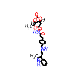 Cc1[nH]c2ccccc2c1CCNCc1ccc(/C=C/C(=O)NO[C@H]2C[C@H]3OC(=O)O[C@H]3[C@H](C)O2)cc1